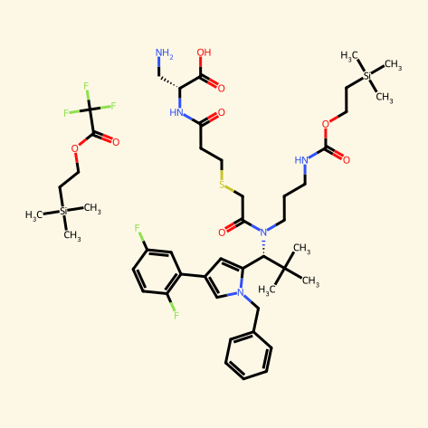 CC(C)(C)[C@H](c1cc(-c2cc(F)ccc2F)cn1Cc1ccccc1)N(CCCNC(=O)OCC[Si](C)(C)C)C(=O)CSCCC(=O)N[C@H](CN)C(=O)O.C[Si](C)(C)CCOC(=O)C(F)(F)F